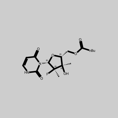 CCCCC(=O)OC[C@H]1O[C@@H](n2c(=O)cc[nH]c2=O)[C@](C)(F)[C@]1(C)O